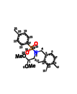 COC(CN(Cc1ccc(C)c(C)c1C)S(=O)(=O)c1ccc(C)cc1)OC